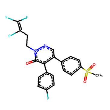 CS(=O)(=O)c1ccc(-c2cnn(CCC(F)=C(F)F)c(=O)c2-c2ccc(F)cc2)cc1